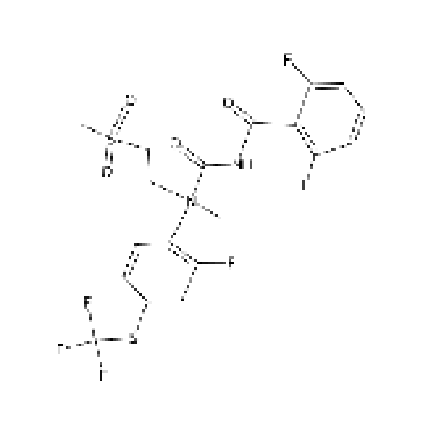 C[N+](CCS(C)(=O)=O)(C(=O)NC(=O)c1c(F)cccc1F)c1ccc(SC(F)(F)F)cc1F